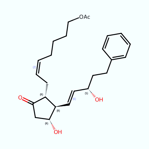 CC(=O)OCCCC/C=C\C[C@H]1C(=O)C[C@@H](O)[C@@H]1/C=C/[C@@H](O)CCc1ccccc1